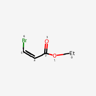 CCOC(=O)/C=[C]\Br